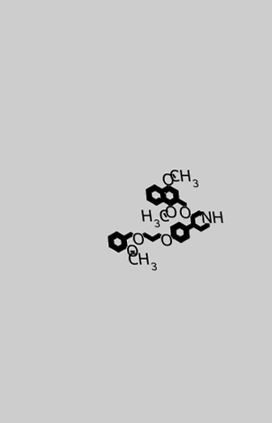 COc1ccccc1COCCCOc1ccc(C2CCNCC2OCc2cc(OC)c3ccccc3c2OC)cc1